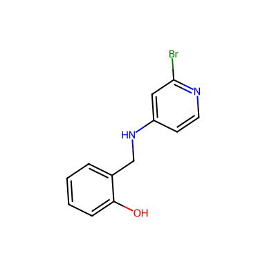 Oc1ccccc1CNc1ccnc(Br)c1